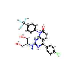 O=c1ccc2c(-c3ccc(Cl)cc3)nc(NC(CO)CO)nc2n1-c1ccc(C(F)(F)F)cc1